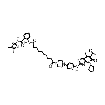 CC(=O)c1c(C)c2cnc(Nc3ccc(N4CCN(C(=O)CCCCCCCCC(=O)Nc5ccccc5C(=O)Nc5nc(C)c(C)s5)CC4)cn3)nc2n(C2CCCC2)c1=O